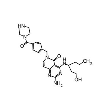 CCCC(CCO)Nc1nc(N)nc2ccn(Cc3ccc(C(=O)N4CCNCC4)cc3)c(=O)c12